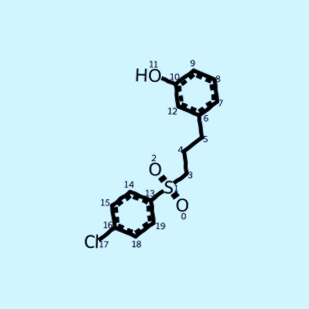 O=S(=O)(CCCc1cccc(O)c1)c1ccc(Cl)cc1